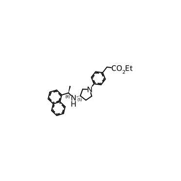 CCOC(=O)Cc1ccc(N2CC[C@H](N[C@H](C)c3cccc4ccccc34)C2)cc1